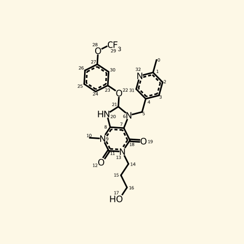 Cc1ccc(CN2c3c(n(C)c(=O)n(CCCO)c3=O)NC2Oc2cccc(OC(F)(F)F)c2)cn1